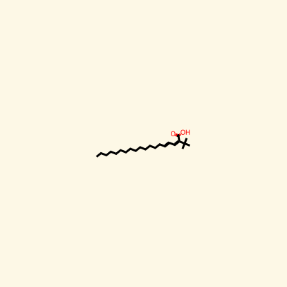 CCCCCCCCCCCCCCC=CC=C(C(=O)O)C(C)(C)C